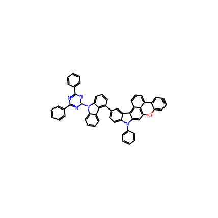 c1ccc(-c2nc(-c3ccccc3)nc(-n3c4ccccc4c4c(-c5ccc6c(c5)c5c7cccc8c7c(cc5n6-c5ccccc5)Oc5ccccc5-8)cccc43)n2)cc1